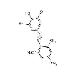 Cc1cc(C)c(/N=C/c2cc(Br)c(O)c(Br)c2)c(C)c1